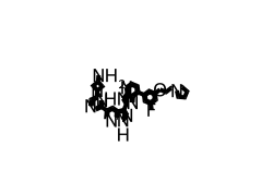 NC1CN(c2cncc(-c3cnc4[nH]nc(-c5nc6c(-c7cc(F)cc(OCCN8CCCC8)c7)ccnc6[nH]5)c4c3)n2)C1